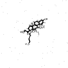 CCCCCO[C@]1(C(=O)CO)CC[C@H]2C3=C(C(O)C[C@@]21C)[C@@]1(C)C=CC(=O)C=C1CC3